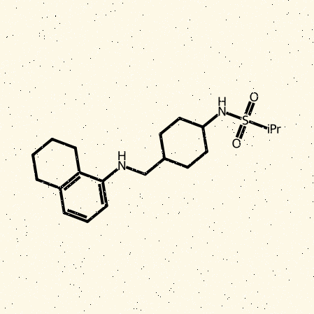 CC(C)S(=O)(=O)NC1CCC(CNc2cccc3c2CCCC3)CC1